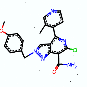 COc1ccc(Cn2cc3c(-c4ccncc4C)nc(Cl)c(C(N)=O)c3n2)cc1